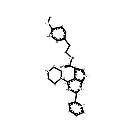 COc1ccc(CCNC(=O)c2csc3nc(-c4ccccn4)nc(N4CCSCC4)c23)cn1